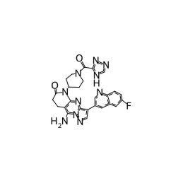 Nc1c2c(nc3c(-c4cnc5ccc(F)cc5c4)cnn13)N(C1CCN(C(=O)c3nnc[nH]3)CC1)C(=O)CC2